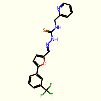 FC(F)(F)c1cccc(-c2ccc(/C=N/NC(=S)NCc3ccccn3)o2)c1